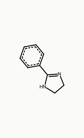 [c]1ccccc1C1=NCCN1